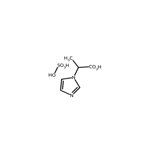 CC(C(=O)O)n1ccnc1.O=S(=O)(O)O